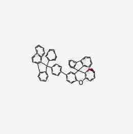 c1ccc(C2(c3ccc(-c4ccc5c(c4)C4(c6ccccc6-c6ccccc64)c4c(ccc6ccccc46)O5)cc3)c3ccccc3-c3ccc4ccccc4c32)cc1